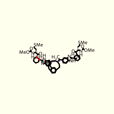 COC(=O)N[C@@H](CCSC)C(=O)N1C2CCC(CC2)[C@H]1c1nc2cc(/C(C)=C3/C=C\[C@H](C)CCc4ccc(cc4-c4ccc5[nH]c([C@@H]6C7CCC(CC7)N6C(=O)[C@H](CCSC)NC(=O)OC)nc5c4)CC3)ccc2[nH]1